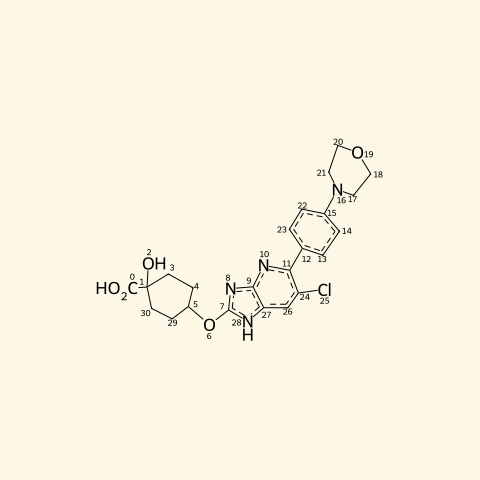 O=C(O)C1(O)CCC(Oc2nc3nc(-c4ccc(N5CCOCC5)cc4)c(Cl)cc3[nH]2)CC1